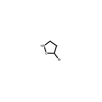 BrC1[CH]CNO1